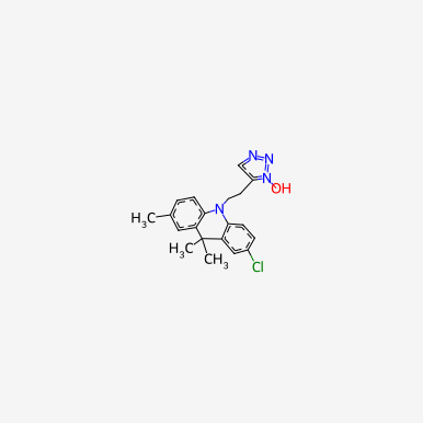 Cc1ccc2c(c1)C(C)(C)c1cc(Cl)ccc1N2CCc1cnnn1O